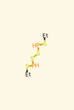 CCSPSSPSCC